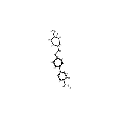 Cc1ccc(-c2ccc(CCC3CCC(C)CC3)cc2)nc1